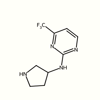 FC(F)(F)c1ccnc(NC2CCNC2)n1